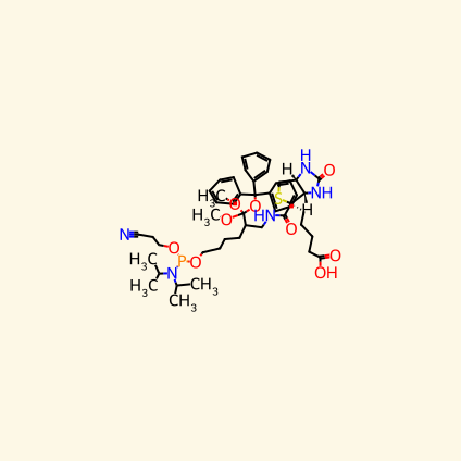 COC(OC)(OC(c1ccccc1)(c1ccccc1)c1ccccc1)C(CCCCOP(OCCC#N)N(C(C)C)C(C)C)CNC(=O)[C@@]1(CCCCC(=O)O)SC[C@@H]2NC(=O)N[C@@H]21